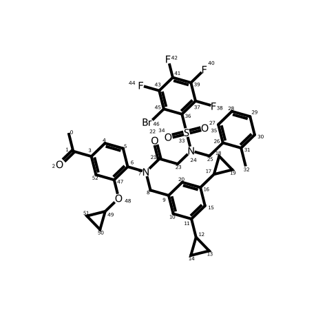 CC(=O)c1ccc(N(Cc2cc(C3CC3)cc(C3CC3)c2)C(=O)CN(Cc2ccccc2C)S(=O)(=O)c2c(F)c(F)c(F)c(F)c2Br)c(OC2CC2)c1